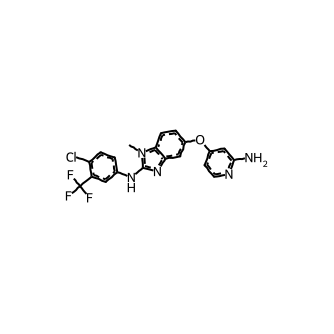 Cn1c(Nc2ccc(Cl)c(C(F)(F)F)c2)nc2cc(Oc3ccnc(N)c3)ccc21